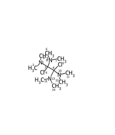 CN(C)C(Cl)(N(C)C)C(Cl)(N(C)C)N(C)C